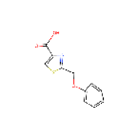 O=C(O)c1csc(COc2ccccc2)n1